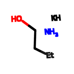 CCCCO.N.[KH]